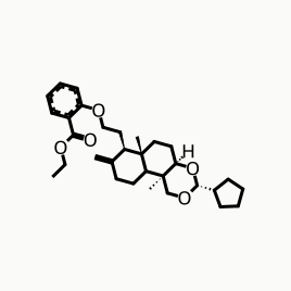 C=C1CCC2[C@]3(C)CO[C@@H](C4CCCC4)O[C@@H]3CC[C@@]2(C)[C@@H]1CCOc1ccccc1C(=O)OCC